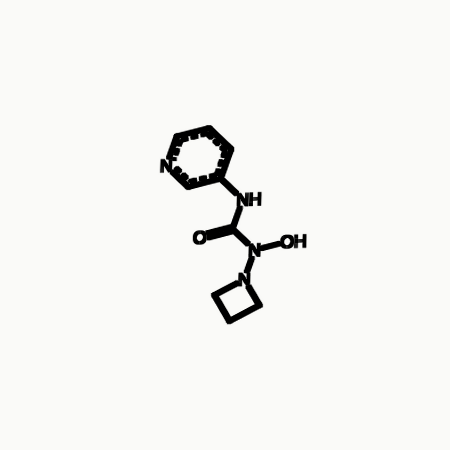 O=C(Nc1cccnc1)N(O)N1CCC1